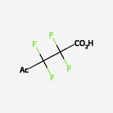 CC(=O)C(F)(F)C(F)(F)C(=O)O